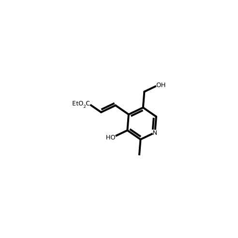 CCOC(=O)/C=C/c1c(CO)cnc(C)c1O